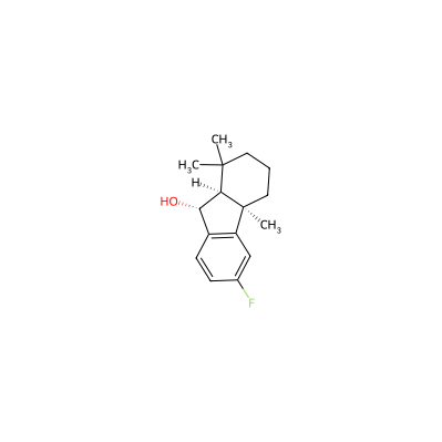 CC1(C)CCC[C@@]2(C)c3cc(F)ccc3[C@H](O)[C@@H]12